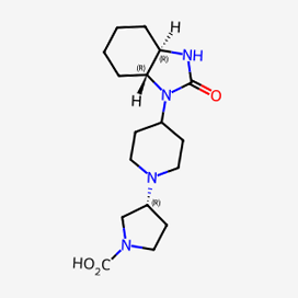 O=C(O)N1CC[C@@H](N2CCC(N3C(=O)N[C@@H]4CCCC[C@H]43)CC2)C1